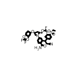 CCS(=O)(=O)c1ccc(C(CC#N)c2cc(N3C[C@@H](Oc4ccc5c(c4)OC(F)(F)O5)C[C@H]3COC(F)F)ccc2C(N)=O)cc1